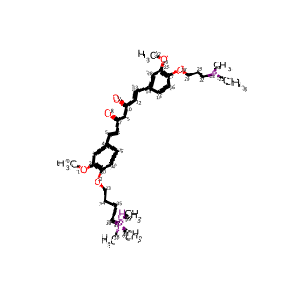 COc1cc(/C=C/C(=O)CC(=O)/C=C/c2ccc(OCCCP(C)C)c(OC)c2)ccc1OCCCC[PH](C)(C)C